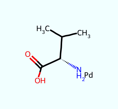 CC(C)[C@H](N)C(=O)O.[Pd]